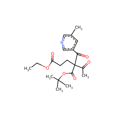 CCOC(=O)CCC(C(C)=O)(C(=O)OC(C)(C)C)C(=O)c1cncc(C)c1